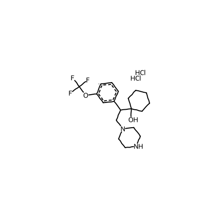 Cl.Cl.OC1(C(CN2CCNCC2)c2cc[c]c(OC(F)(F)F)c2)CCCCC1